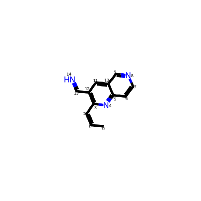 C/C=C\c1nc2ccncc2cc1C=N